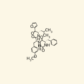 COc1ccc(C[C@H](NC(=O)[C@H](Cc2ccccc2)NC(=O)O)C(=O)N[C@@H](CC(C)C)C(=O)c2ccco2)cc1